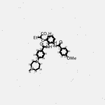 CCC(Oc1cccc(NC(=O)c2ccc(OC)cc2)c1NC(=O)c1ccc(N2CCCN(C)CC2)cc1)C(=O)O